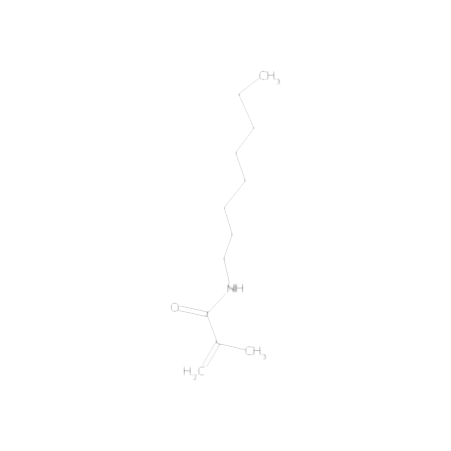 C=C(C)C(=O)NCCCCCCCC